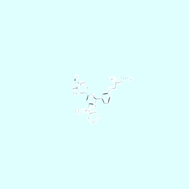 CNCC(O)COc1cccc(-c2nc(N3CCN4C(=O)OC[C@@H]4C3)cc(N(C)C3CCCCC3)n2)c1